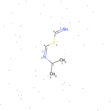 CC(C)/N=C\SC=N